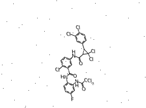 O=C(Nc1ccc(F)cc1NC(=O)C(Cl)(Cl)Cl)c1cc(NC(=O)C2C(c3ccc(Cl)c(Cl)c3)C2(Cl)Cl)ccc1Cl